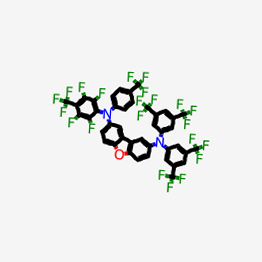 Fc1c(F)c(C(F)(F)F)c(F)c(F)c1N(c1ccc(C(F)(F)F)cc1)c1ccc2oc3ccc(N(c4cc(C(F)(F)F)cc(C(F)(F)F)c4)c4cc(C(F)(F)F)cc(C(F)(F)F)c4)cc3c2c1